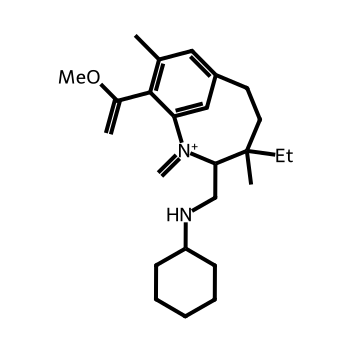 C=C(OC)c1c(C)cc2cc1[N+](=C)C(CNC1CCCCC1)C(C)(CC)CC2